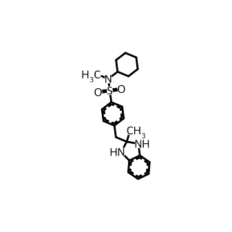 CN(C1CCCCC1)S(=O)(=O)c1ccc(CC2(C)Nc3ccccc3N2)cc1